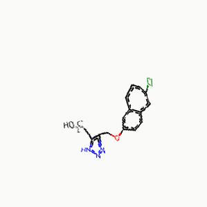 O=C(O)c1[nH]nnc1COc1ccc2cc(Cl)ccc2c1